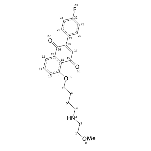 COCCNCCCCOc1cccc2c1C(=O)C=C(c1ccc(F)cc1)C2=O